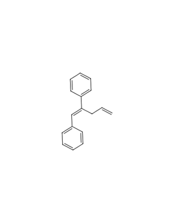 C=CC/C(=C\c1ccccc1)c1ccccc1